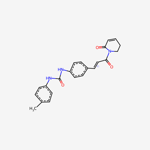 Cc1ccc(NC(=O)Nc2ccc(/C=C/C(=O)N3CCC=CC3=O)cc2)cc1